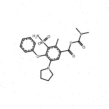 Cc1c(C(=O)OC(=O)N(C)C)cc(N2CCCC2)c(Oc2ccccc2)c1S(N)(=O)=O